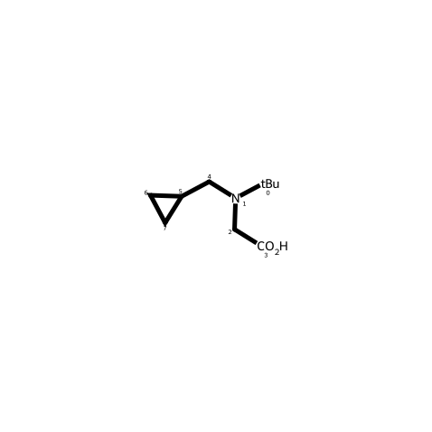 CC(C)(C)N(CC(=O)O)CC1CC1